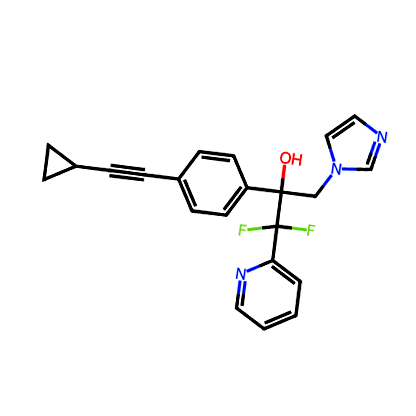 OC(Cn1ccnc1)(c1ccc(C#CC2CC2)cc1)C(F)(F)c1ccccn1